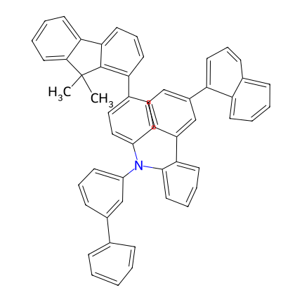 CC1(C)c2ccccc2-c2cccc(-c3ccc(N(c4cccc(-c5ccccc5)c4)c4ccccc4-c4cccc(-c5cccc6ccccc56)c4)cc3)c21